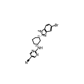 Cn1c([C@H]2CCC[C@@H](Nc3ncc(C#N)cn3)C2)nc2cc(Br)ccc21